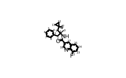 C[C@@](Cc1ccccc1)(CC1(F)CC1)NC(=O)c1cnc2c(F)cccc2c1